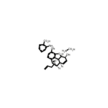 C=CCN1CC[C@]23c4c5ccc(O)c4O[C@H]2[C@@H](O)C=C[C@H]3[C@H]1C5.NC(=O)O.Nc1ccccc1C(=O)O